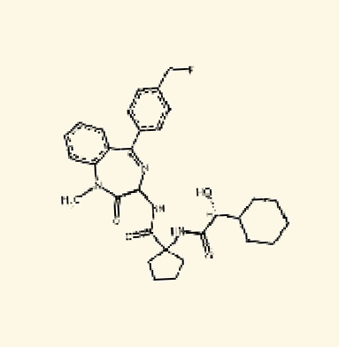 CN1C(=O)C(NC(=O)C2(NC(=O)[C@H](O)C3CCCCC3)CCCC2)N=C(c2ccc(CF)cc2)c2ccccc21